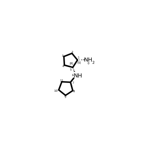 N[C@H]1CCC[C@H]1NC1CCCC1